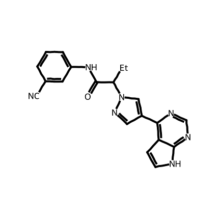 CCC(C(=O)Nc1cccc(C#N)c1)n1cc(-c2ncnc3[nH]ccc23)cn1